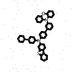 c1ccc(-c2ccc(N(c3ccc(-c4cccc(N5c6ccccc6Oc6ccccc65)c4)cc3)c3ccc4c(c3)sc3ccccc34)cc2)cc1